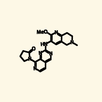 COc1nc2c(cc1Nc1ncc3ccnc(N4CCCC4=O)c3n1)CN(C)CC2